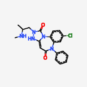 CNC(C)CN1NC2=CC(=O)N(c3ccccc3)c3cc(Cl)ccc3N2C1=O